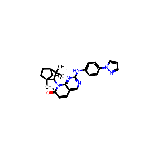 CC12CCC(C1)C(C)(C)C2n1c(=O)ccc2cnc(Nc3ccc(-n4cccn4)cc3)nc21